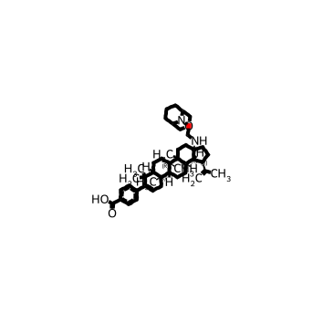 C=C(C)[C@@H]1CC[C@]2(NCCN3C4CCCC3COC4)CC[C@]3(C)[C@H](CC[C@@H]4[C@@]5(C)CC=C(c6ccc(C(=O)O)cc6)C(C)(C)[C@@H]5CC[C@]43C)[C@@H]12